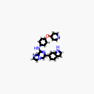 c1cc(Oc2ccc(Nc3nc(-c4ccc5cc[nH]c5c4)cn4ccnc34)cc2)ccn1